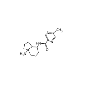 Cc1cnc(C(=O)NC2CCCC3(N)CCCC23)cn1